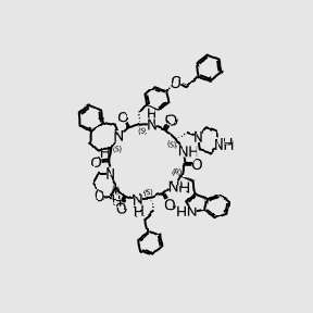 O=C1N[C@@H](Cc2ccc(OCc3ccccc3)cc2)C(=O)N2Cc3ccccc3CC[C@H]2C(=O)N2CCOC[C@H]2C(=O)N[C@@H](CCc2ccccc2)C(=O)N[C@H](Cc2c[nH]c3ccccc23)C(=O)N[C@H]1CN1CCNCC1